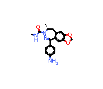 CNC(=O)N1N=C(c2ccc(N)cc2)c2cc3c(cc2C[C@H]1C)OCO3